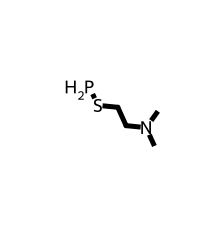 CN(C)CCSP